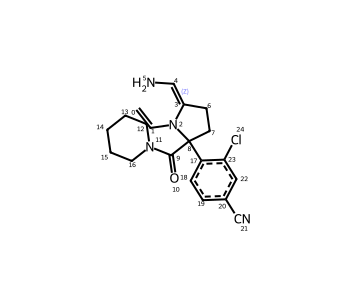 C=CN1/C(=C\N)CCC1(C(=O)N1CCCCC1)c1ccc(C#N)cc1Cl